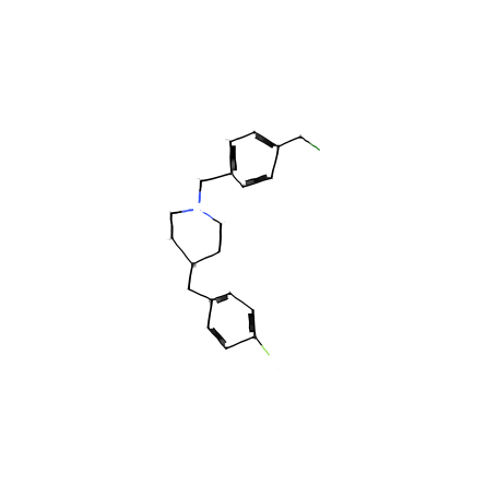 Fc1ccc(CC2CCN(Cc3ccc(CCl)cc3)CC2)cc1